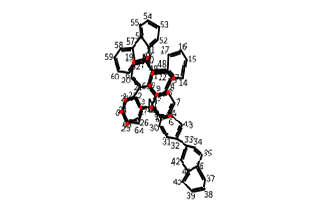 c1ccc(-c2ccccc2-c2c(-c3ccccc3)cccc2-c2ccccc2N(c2ccc(-c3ccc4ccccc4c3)cc2)c2cccc(-n3c4ccccc4c4ccccc43)c2)cc1